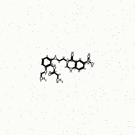 CCOc1cccc(OCCN2COc3ccc([N+](=O)[O-])cc3C2=O)c1OC(=O)CC